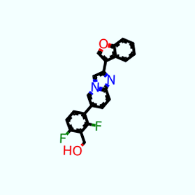 OCc1c(F)ccc(-c2ccc3nc(-c4coc5ccccc45)cn3c2)c1F